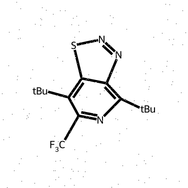 CC(C)(C)c1nc(C(F)(F)F)c(C(C)(C)C)c2snnc12